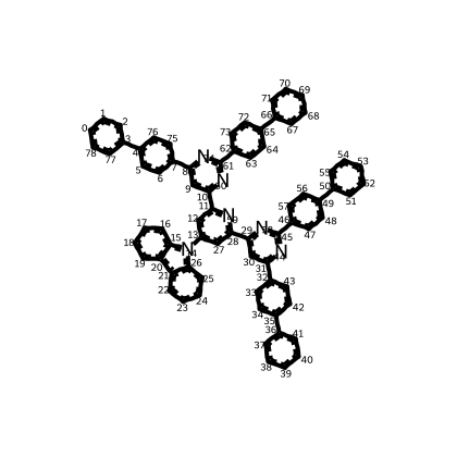 c1ccc(-c2ccc(-c3cc(-c4cc(-n5c6ccccc6c6ccccc65)cc(-c5cc(-c6ccc(-c7ccccc7)cc6)nc(-c6ccc(-c7ccccc7)cc6)n5)n4)nc(-c4ccc(-c5ccccc5)cc4)n3)cc2)cc1